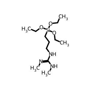 CCO[Si](CCCNC(=NC)NC)(OCC)OCC